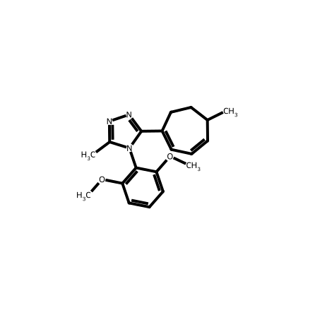 COc1cccc(OC)c1-n1c(C)nnc1C1=CC=CC(C)CC1